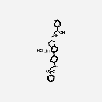 Cl.Cl.O=C(CS(=O)(=O)c1ccccc1)c1ccc(-c2ccc3c(c2)CC[C@H](CNC[C@@H](O)c2cccnc2)O3)cc1